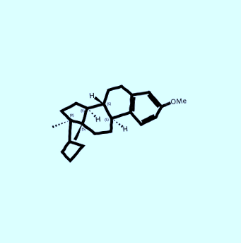 COc1ccc2c(c1)CC[C@@H]1[C@@H]2CC[C@@]2(C)[C@H]1CC[C@]2(C)C1CCC1